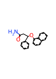 NC(=O)CC(Oc1cccc2ccccc12)c1ccccc1